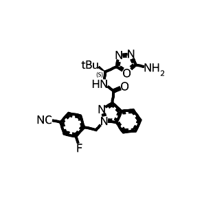 CC(C)(C)[C@H](NC(=O)c1nn(Cc2ccc(C#N)cc2F)c2ccccc12)c1nnc(N)o1